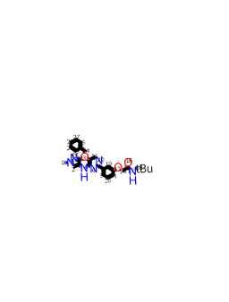 Cn1cc(Nc2nc(-c3cccc(OCC(=O)NC(C)(C)C)c3)ncc2OCc2ccccc2)cn1